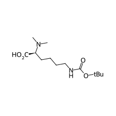 CN(C)[C@@H](CCCCNC(=O)OC(C)(C)C)C(=O)O